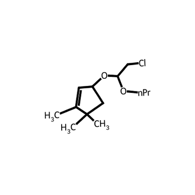 CCCOC(CCl)OC1C=C(C)C(C)(C)C1